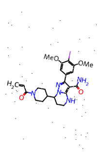 C=CC(=O)N1CCC(C2CCNc3c(C(N)=O)c(-c4cc(OC)c(I)c(OC)c4)nn32)CC1